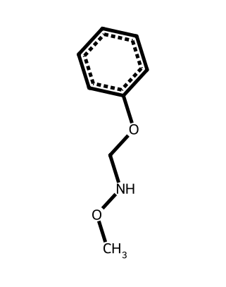 CONCOc1ccccc1